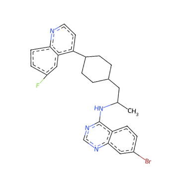 CC(CC1CCC(c2ccnc3ccc(F)cc23)CC1)Nc1ncnc2cc(Br)ccc12